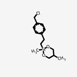 CC1CO[Si](C)(CCc2ccc(CCl)cc2)OC1